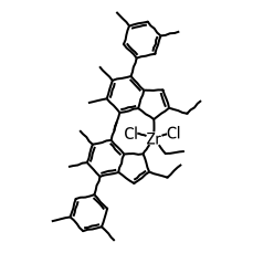 CCC1=Cc2c(-c3cc(C)cc(C)c3)c(C)c(C)c(C)c2[CH]1[Zr]([Cl])([Cl])([CH2]C)[CH]1C(CC)=Cc2c(-c3cc(C)cc(C)c3)c(C)c(C)c(C)c21